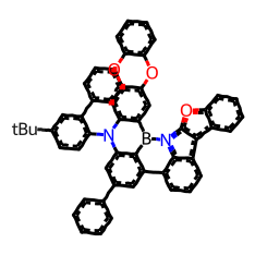 CC(C)(C)c1ccc(N2c3cc4c(cc3B3c5c(cc(-c6ccccc6)cc52)-c2cccc5c6c7ccccc7oc6n3c25)Oc2ccccc2O4)c(-c2ccccc2)c1